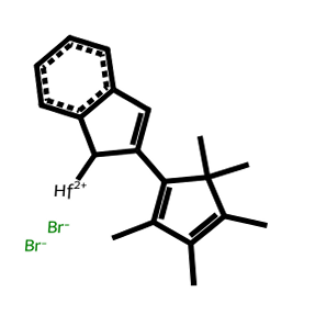 CC1=C(C)C(C)(C)C(C2=Cc3ccccc3[CH]2[Hf+2])=C1C.[Br-].[Br-]